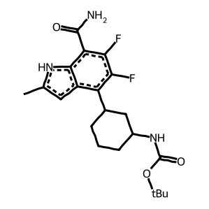 Cc1cc2c(C3CCCC(NC(=O)OC(C)(C)C)C3)c(F)c(F)c(C(N)=O)c2[nH]1